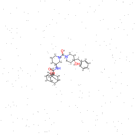 O=C(N1CCC(O)(Cc2ccccc2)CC1)N1CCCC(NC(=O)C23CC4CC(C2)C(O)C(C4)C3)C1